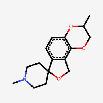 CC1COc2c(ccc3c2COC32CCN(C)CC2)O1